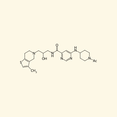 CC(=O)N1CCC(Nc2cc(C(=O)NCC(O)CN3CCc4scc(C)c4C3)ncn2)CC1